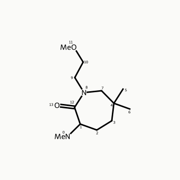 CNC1CCC(C)(C)CN(CCOC)C1=O